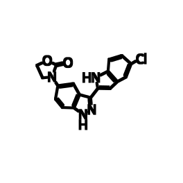 O=C1OCCN1c1ccc2[nH]nc(-c3cc4cc(Cl)ccc4[nH]3)c2c1